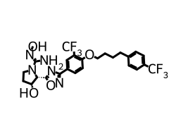 N/C(=N\O)N1CC[C@H](O)[C@H]1c1nc(-c2ccc(OCCCCc3ccc(C(F)(F)F)cc3)c(C(F)(F)F)c2)no1